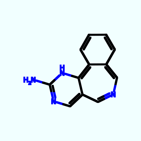 NC1=NC=C2C=NC=c3ccccc3=C2N1